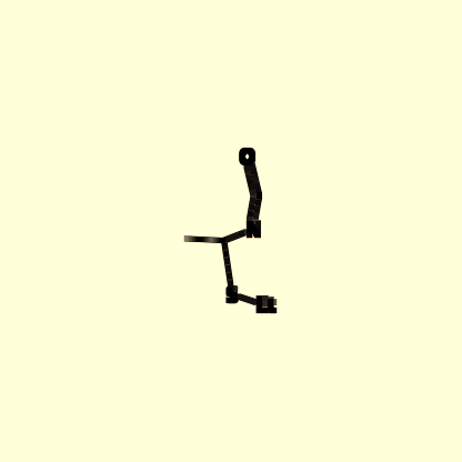 CCSC(C)N=C=O